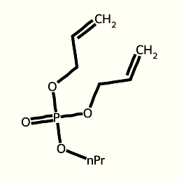 C=CCOP(=O)(OCC=C)OCCC